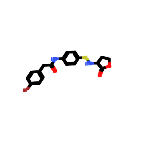 O=C(Cc1ccc(Br)cc1)Nc1ccc(SNC2CCOC2=O)cc1